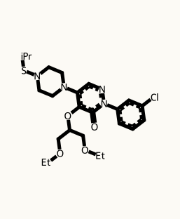 CCOCC(COCC)Oc1c(N2CCN(SC(C)C)CC2)cnn(-c2cccc(Cl)c2)c1=O